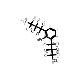 [CH2]CCc1c(C(Cl)(Cl)C(Cl)(Cl)C(Cl)(Cl)C(Cl)(Cl)Cl)cccc1C(Cl)(Cl)C(Cl)(Cl)C(Cl)(Cl)C(Cl)(Cl)Cl